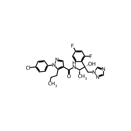 CCCc1c(C(=O)N[C@H](C)[C@](O)(Cn2cncn2)c2ccc(F)cc2F)cnn1-c1ccc(Cl)cc1